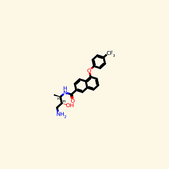 C[C@@H](NC(=O)c1ccc2c(Oc3ccc(C(F)(F)F)cc3)cccc2c1)[C@H](O)CN